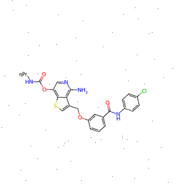 CCCNC(=O)Oc1cnc(N)c2c(COc3cccc(C(=O)Nc4ccc(Cl)cc4)c3)csc12